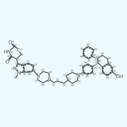 Cn1nc(C2CCC(=O)NC2=O)c2ccc(N3CCN(CCCC4CCN(c5ccc([C@@H]6c7ccc(O)cc7CC[C@@H]6c6ccccc6)cc5)CC4)CC3)cc21